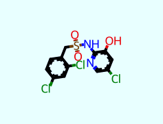 O=S(=O)(Cc1ccc(Cl)cc1Cl)Nc1ncc(Cl)cc1O